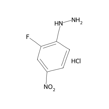 Cl.NNc1ccc([N+](=O)[O-])cc1F